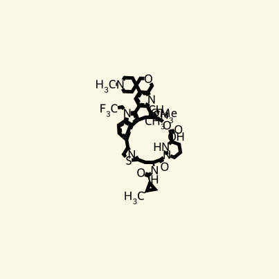 CO[C@@H](C)c1nc2c(cc1-c1c3c4cc(ccc4n1CC(F)(F)F)C1CSC(=N1)C[C@H](NC(=O)[C@H]1C[C@@H]1C)C(=O)N1CCC[C@@](O)(N1)C(=O)OCC(C)(C)C3)C1(CCN(C)CC1)COC2